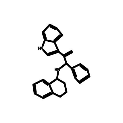 C=C(c1c[nH]c2ccccc12)C(NC1CCCc2ccccc21)c1ccccc1